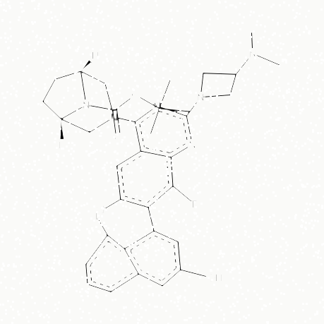 CN(C)C1CN(c2nc(N3C[C@H]4CC[C@@H](C3)N4C(=O)OC(C)(C)C)c3cc(Cl)c(-c4cc(O)cc5cccc(Cl)c45)c(F)c3n2)C1